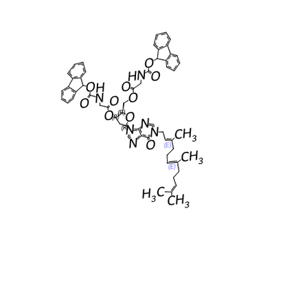 CC(C)=CCC/C(C)=C/CC/C(C)=C/Cn1cnc2c(ncn2[C@H]2C[C@@H](OC(=O)CNC(=O)OC3c4ccccc4-c4ccccc43)[C@@H](COC(=O)CNC(=O)OC3c4ccccc4-c4ccccc43)O2)c1=O